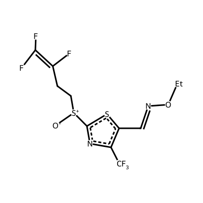 CCO/N=C/c1sc([S+]([O-])CCC(F)=C(F)F)nc1C(F)(F)F